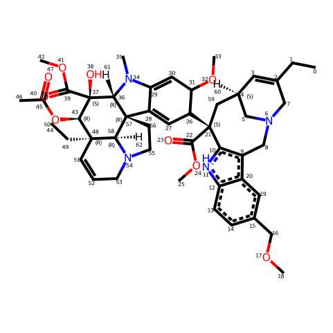 CCC1=C[C@H]2CN(C1)Cc1c([nH]c3ccc(COC)cc13)[C@@](C(=O)OC)(C1C=C3C(=CC1OC)N(C)[C@H]1[C@@](O)(C(=O)OC)[C@H](OC(C)=O)[C@]4(CC)C=CCN5CC[C@]31[C@@H]54)C2